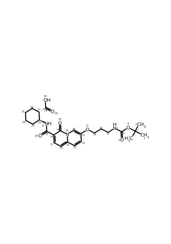 CC(C)(C)OC(=O)NCCCOc1ccc2ccc(C(=O)N[C@H]3CCCC[C@@H]3C(=O)O)c(=O)n2c1